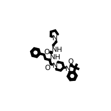 CC1(C)C(=O)N(C2CCN(C(=O)C(CCc3ccccc3)NC(=O)NCCN3CCCC3)CC2)c2ccccc21